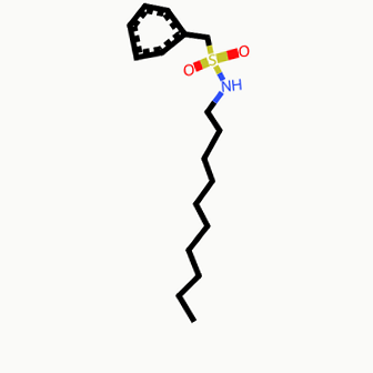 CCCCCCCCCCNS(=O)(=O)Cc1ccccc1